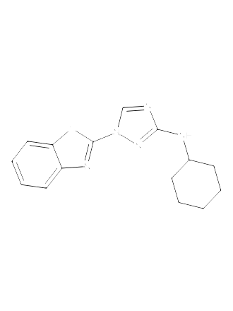 c1ccc2sc(-n3cnc(NC4CCCCC4)n3)nc2c1